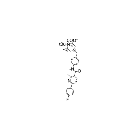 Cc1nc(-c2ccc(F)cc2)ccc1C(=O)N(C)c1ccc(CN2C[C@@H](C)[N+](C(=O)[O-])(C(C)(C)C)[C@@H](C)C2)cc1